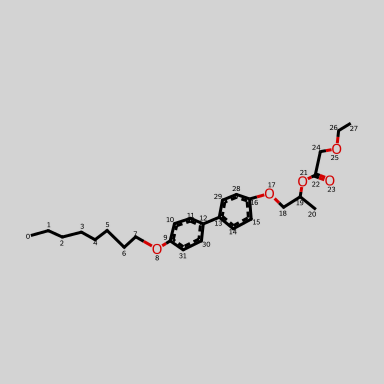 CCCCCCCCOc1ccc(-c2ccc(OCC(C)OC(=O)COCC)cc2)cc1